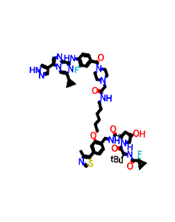 Cc1ncsc1-c1ccc(CNC(=O)[C@@H]2C[C@@H](O)CN2C(=O)[C@@H](NC(=O)C2(F)CC2)C(C)(C)C)c(OCCCCCCNC(=O)CN2CCN(C(=O)c3ccc(Nc4nc(C5CC5)cn5c(-c6cn[nH]c6)cnc45)c(F)c3)CC2)c1